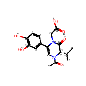 CC(=O)N1C=C(c2ccc(O)c(O)c2)N(CC(=O)O)C(=O)[C@@H]1C(C)C